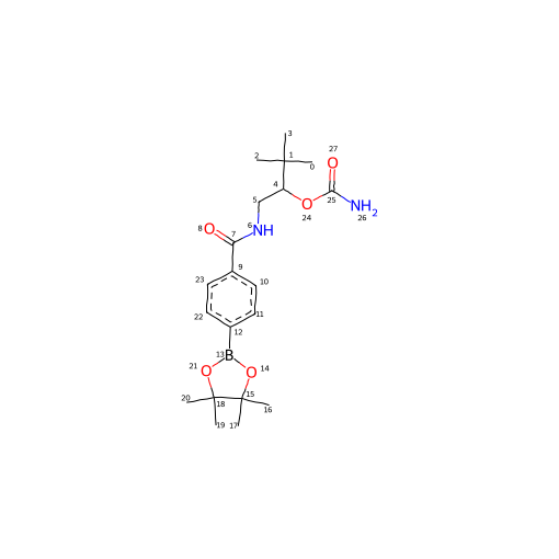 CC(C)(C)C(CNC(=O)c1ccc(B2OC(C)(C)C(C)(C)O2)cc1)OC(N)=O